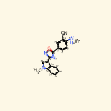 CC(C)Nc1ccc(-c2nc(-c3cn(C)c4ccccc34)no2)cc1C#N